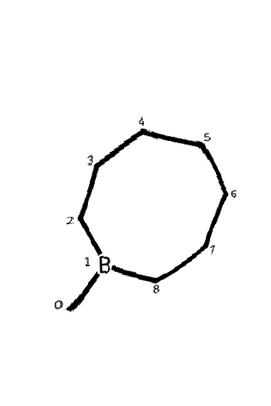 CB1CCCCCCC1